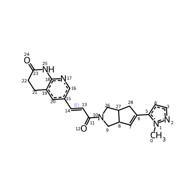 Cn1nccc1C1=CC2CN(C(=O)/C=C/c3cnc4c(c3)CCC(=O)N4)CC2C1